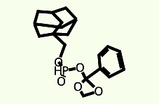 O=[PH](OCC12CC3CC(CC(C3)C1)C2)OC1(c2ccccc2)OCO1